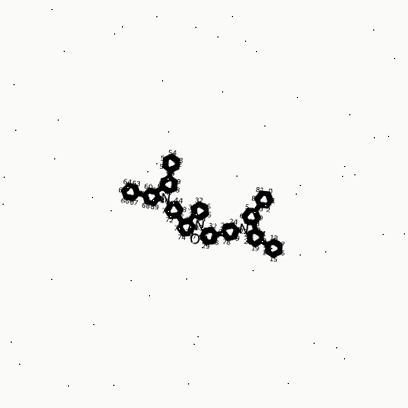 c1ccc(-c2ccc3c(c2)c2cc(-c4ccccc4)ccc2n3-c2ccc(-c3ccc4c(c3)-n3c5ccccc5c5c(-c6ccc(-n7c8ccc(-c9ccccc9)cc8c8cc(-c9ccccc9)ccc87)cc6)ccc(c53)O4)cc2)cc1